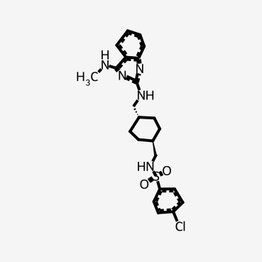 CNc1nc(NC[C@H]2CC[C@H](CNS(=O)(=O)c3ccc(Cl)cc3)CC2)nc2ccccc12